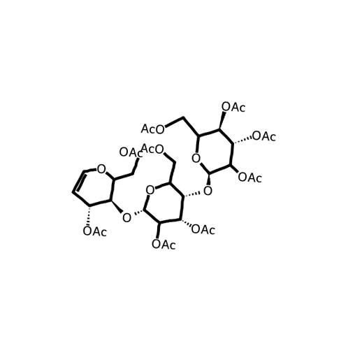 CC(=O)OCC1O[C@H](O[C@H]2C(COC(C)=O)O[C@@H](O[C@@H]3C(COC(C)=O)OC=C[C@H]3OC(C)=O)C(OC(C)=O)[C@H]2OC(C)=O)C(OC(C)=O)[C@@H](OC(C)=O)[C@@H]1OC(C)=O